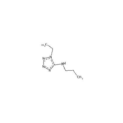 [CH2]Cn1nnnc1NCCC